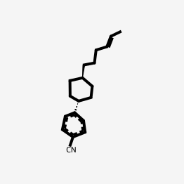 C/C=C/CCC[C@H]1CC[C@H](c2ccc(C#N)cc2)CC1